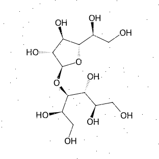 OC[C@@H](O)[C@@H](O)[C@H](O[C@@H]1O[C@@H]([C@@H](O)CO)[C@H](O)[C@H]1O)[C@H](O)CO